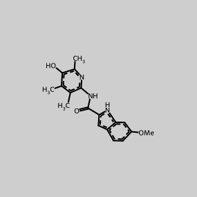 COc1ccc2cc(C(=O)Nc3nc(C)c(O)c(C)c3C)[nH]c2c1